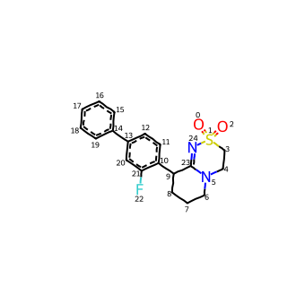 O=S1(=O)CCN2CCCC(c3ccc(-c4ccccc4)cc3F)C2=N1